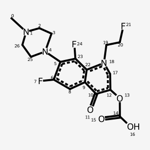 CN1CCN(c2c(F)cc3c(=O)c(OC(=O)O)cn(CCF)c3c2F)CC1